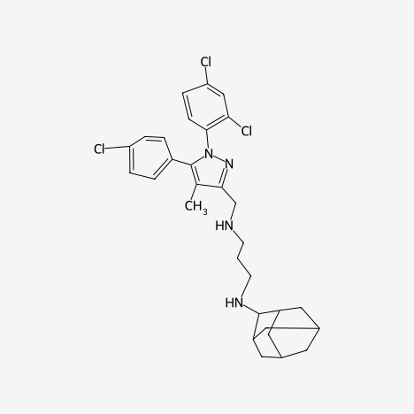 Cc1c(CNCCCNC2C3CC4CC(C3)CC2C4)nn(-c2ccc(Cl)cc2Cl)c1-c1ccc(Cl)cc1